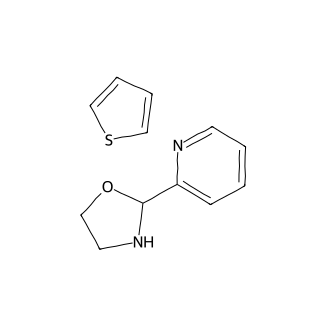 c1ccc(C2NCCO2)nc1.c1ccsc1